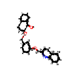 O=C1c2ccccc2CCC1OCc1cccc(OCc2ccc3ccccc3n2)c1